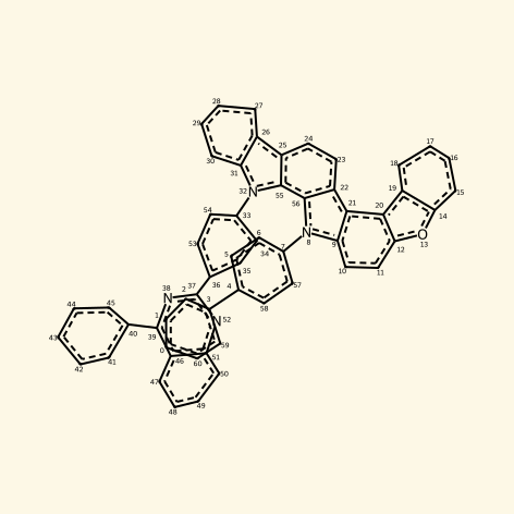 c1ccc(-c2ccc(-n3c4ccc5oc6ccccc6c5c4c4ccc5c6ccccc6n(-c6ccc(-c7nc(-c8ccccc8)c8ccccc8n7)cc6)c5c43)cc2)cc1